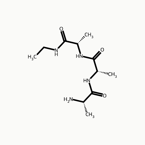 CCNC(=O)[C@H](C)NC(=O)[C@H](C)NC(=O)[C@H](C)N